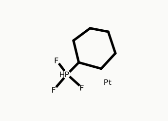 F[PH](F)(F)C1CCCCC1.[Pt]